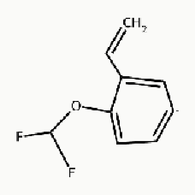 C=Cc1c[c]ccc1OC(F)F